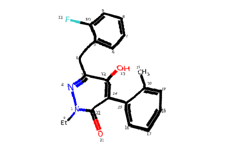 CCn1nc(Cc2ccccc2F)c(O)c(-c2ccccc2C)c1=O